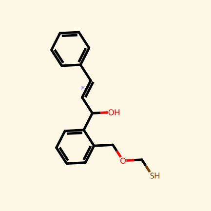 OC(/C=C/c1ccccc1)c1ccccc1COCS